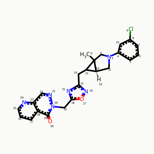 CC12CN(c3cccc(Cl)c3)C[C@H]1C2Cc1noc(Cn2ncc3ncccc3c2=O)n1